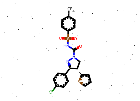 O=C(NS(=O)(=O)c1ccc(C(F)(F)F)cc1)N1C[C@H](c2cccs2)C(c2ccc(Cl)cc2)=N1